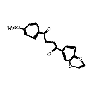 COc1ccc(C(=O)CCC(=O)c2ccc3c(c2)OCCS3)cc1